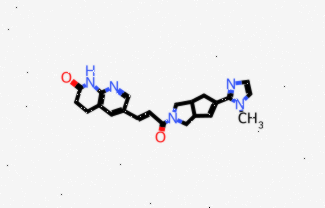 Cn1ccnc1C1=CC2CN(C(=O)/C=C/c3cnc4c(c3)CCC(=O)N4)CC2C1